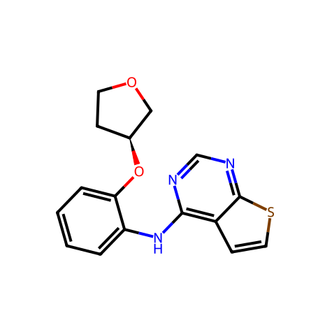 c1ccc(O[C@H]2CCOC2)c(Nc2ncnc3sccc23)c1